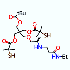 C=C(COCC(COC(=O)C(C)(C)C)(COC(=O)C(C)(C)S)COC(=O)C(C)(C)S)NCCC(=O)NCC